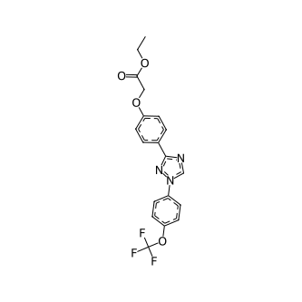 CCOC(=O)COc1ccc(-c2ncn(-c3ccc(OC(F)(F)F)cc3)n2)cc1